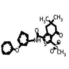 CC1(C)CC(=O)c2c(S(C)(=O)=O)sc(C(=O)Nc3cccc(Oc4ccccc4)c3)c2C1